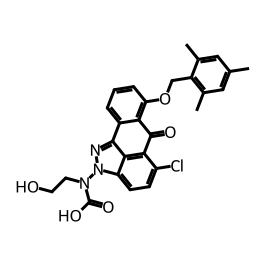 Cc1cc(C)c(COc2cccc3c2C(=O)c2c(Cl)ccc4c2c-3nn4N(CCO)C(=O)O)c(C)c1